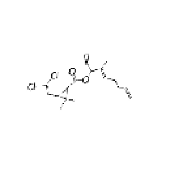 C#CC(OC(=O)C1C(C=C(Cl)Cl)C1(C)C)C(C)=CCCC=C